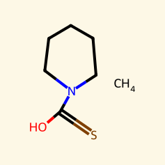 C.OC(=S)N1CCCCC1